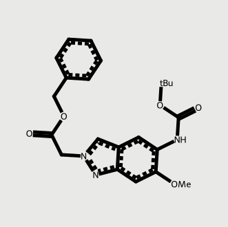 COc1cc2nn(CC(=O)OCc3ccccc3)cc2cc1NC(=O)OC(C)(C)C